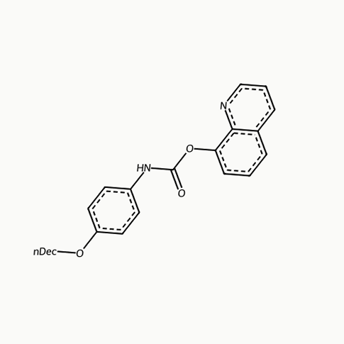 CCCCCCCCCCOc1ccc(NC(=O)Oc2cccc3cccnc23)cc1